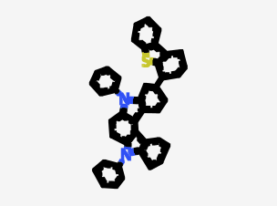 c1ccc(-n2c3ccccc3c3c4c5ccc(-c6cccc7c6sc6ccccc67)cc5n(-c5ccccc5)c4ccc32)cc1